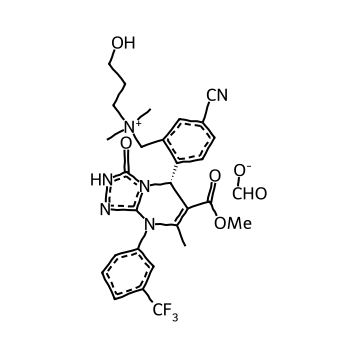 COC(=O)C1=C(C)N(c2cccc(C(F)(F)F)c2)c2n[nH]c(=O)n2[C@@H]1c1ccc(C#N)cc1C[N+](C)(C)CCCO.O=C[O-]